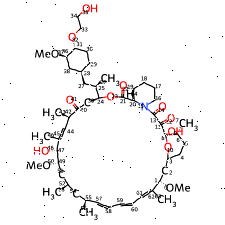 CO[C@H]1CC2CC[C@@H](C)[C@@](O)(O2)C(=O)C(=O)N2CCCC[C@H]2C(=O)O[C@H]([C@H](C)C[C@@H]2CC[C@@H](OCCO)[C@H](OC)C2)CC(=O)[C@H](C)/C=C(\C)[C@@H](O)[C@@H](OC)C[C@H](C)C[C@H](C)/C=C/C=C/C=C/1C